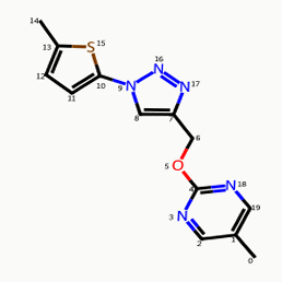 Cc1cnc(OCc2cn(-c3ccc(C)s3)nn2)nc1